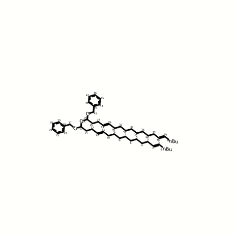 CCCCC=CCCCCCCCCC=CCCC(OCc1ccccc1)OC(CCC=CCCCCCCCCC=CCCCC)OCc1ccccc1